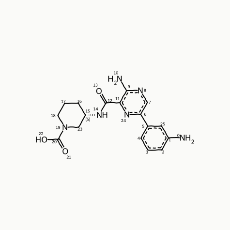 Nc1cccc(-c2cnc(N)c(C(=O)N[C@H]3CCCN(C(=O)O)C3)n2)c1